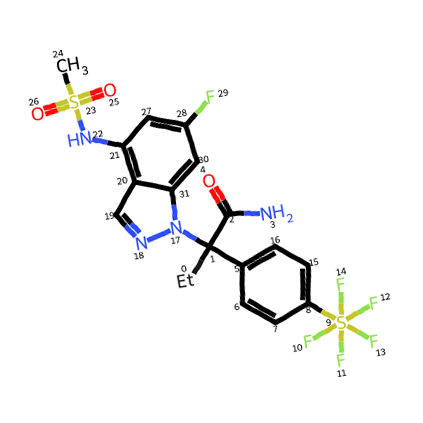 CCC(C(N)=O)(c1ccc(S(F)(F)(F)(F)F)cc1)n1ncc2c(NS(C)(=O)=O)cc(F)cc21